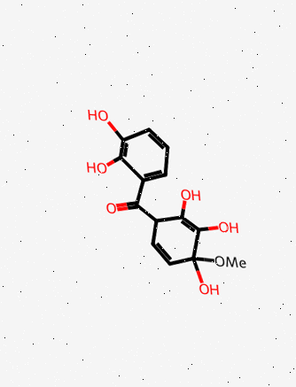 COC1(O)C=CC(C(=O)c2cccc(O)c2O)C(O)=C1O